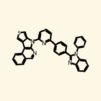 c1ccc(-n2c(-c3ccc(-c4cccc(-n5c6cscc6c6c7ccccc7cnc65)n4)cc3)nc3ccccc32)cc1